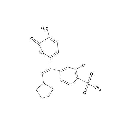 Cc1ccc(C(=CC2CCCC2)c2ccc(S(C)(=O)=O)c(Cl)c2)[nH]c1=O